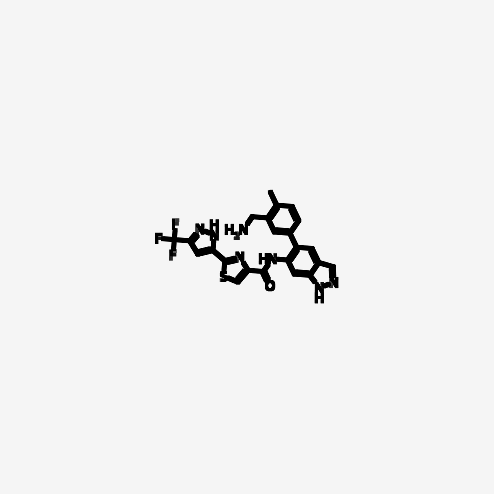 Cc1ccc(-c2cc3cn[nH]c3cc2NC(=O)c2csc(-c3cc(C(F)(F)F)n[nH]3)n2)cc1CN